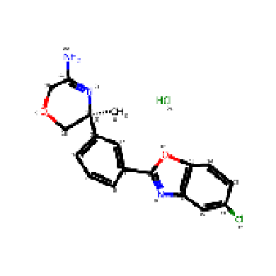 C[C@]1(c2cccc(-c3nc4cc(Cl)ccc4o3)c2)COCC(N)=N1.Cl